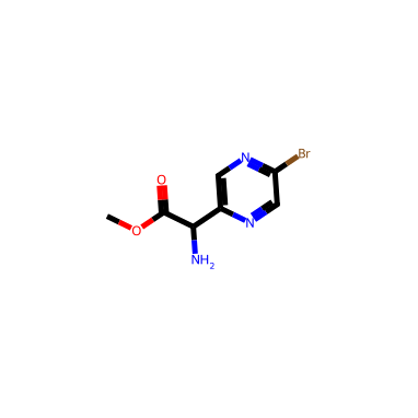 COC(=O)C(N)c1cnc(Br)cn1